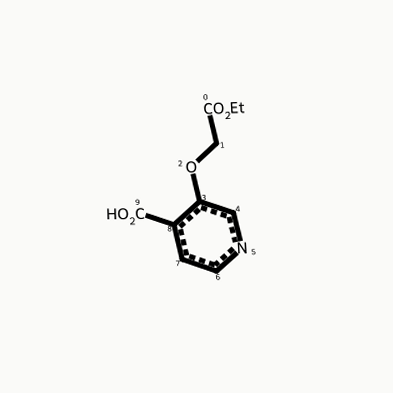 CCOC(=O)COc1cnccc1C(=O)O